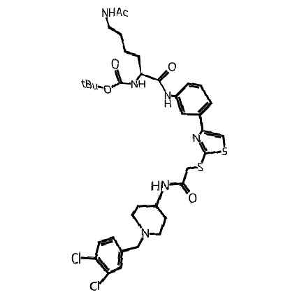 CC(=O)NCCCC[C@H](NC(=O)OC(C)(C)C)C(=O)Nc1cccc(-c2csc(SCC(=O)NC3CCN(Cc4ccc(Cl)c(Cl)c4)CC3)n2)c1